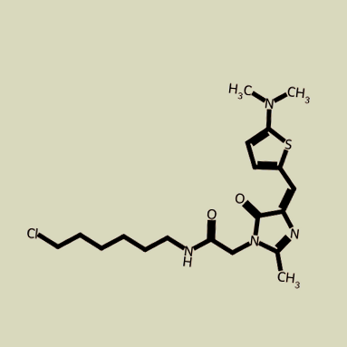 CC1=N/C(=C/c2ccc(N(C)C)s2)C(=O)N1CC(=O)NCCCCCCCl